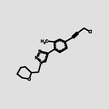 Cc1cc(C#CCCl)ccc1-c1cn(CC2CCCCO2)nn1